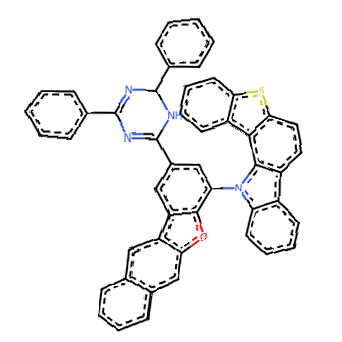 c1ccc(C2=NC(c3ccccc3)NC(c3cc(-n4c5ccccc5c5ccc6sc7ccccc7c6c54)c4oc5cc6ccccc6cc5c4c3)=N2)cc1